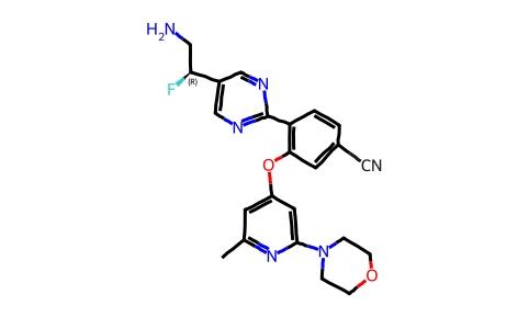 Cc1cc(Oc2cc(C#N)ccc2-c2ncc([C@@H](F)CN)cn2)cc(N2CCOCC2)n1